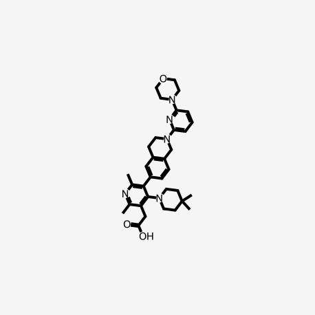 Cc1nc(C)c(-c2ccc3c(c2)CCN(c2cccc(N4CCOCC4)n2)C3)c(N2CCC(C)(C)CC2)c1CC(=O)O